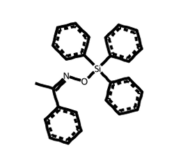 CC(=NO[Si](c1ccccc1)(c1ccccc1)c1ccccc1)c1ccccc1